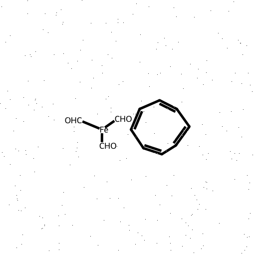 C1=CC=CC=CC=C1.O=[CH][Fe]([CH]=O)[CH]=O